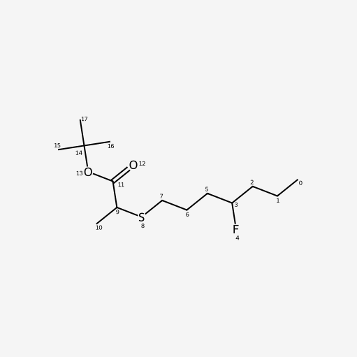 CCCC(F)CCCSC(C)C(=O)OC(C)(C)C